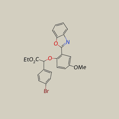 CCOC(=O)C(Oc1ccc(OC)cc1-c1nc2ccccc2o1)c1ccc(Br)cc1